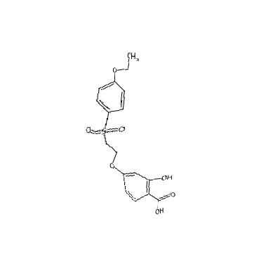 CCOc1ccc(S(=O)(=O)CCOc2ccc(C(=O)O)c(O)c2)cc1